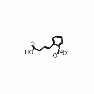 O=C(O)CC=Cc1ccccc1[N+](=O)[O-]